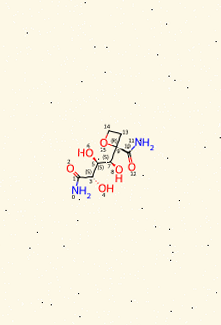 NC(=O)[C@@H](O)[C@@H](O)[C@H](O)[C@@]1(C(N)=O)CCO1